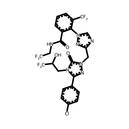 O=C(NCC(F)(F)F)c1cccc(C(F)(F)F)c1-n1cnc(Cn2nc(-c3ccc(Cl)cc3)n(CC(O)C(F)(F)F)c2=O)n1